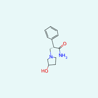 NC(=O)[C@H](CN1CCC(O)C1)c1ccccc1